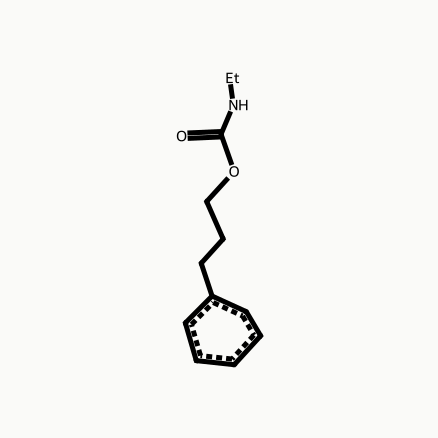 [CH2]CNC(=O)OCCCc1ccccc1